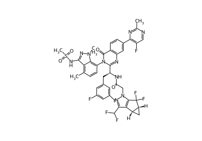 Cc1ncc(F)c(-c2ccc3c(=O)n(-c4ccc(C)c5c(NS(C)(=O)=O)nn(C)c45)c([C@H](Cc4cc(F)cc(F)c4)NC(=O)Cn4nc(C(F)F)c5c4C(F)(F)[C@@H]4C[C@H]54)nc3c2)n1